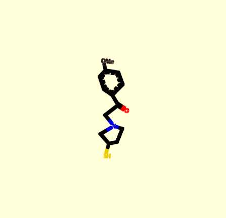 COc1ccc(C(=O)CN2CCC(S)C2)cc1